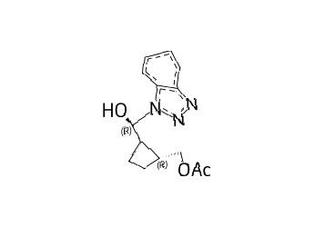 CC(=O)OC[C@@H]1CCC1[C@@H](O)n1nnc2ccccc21